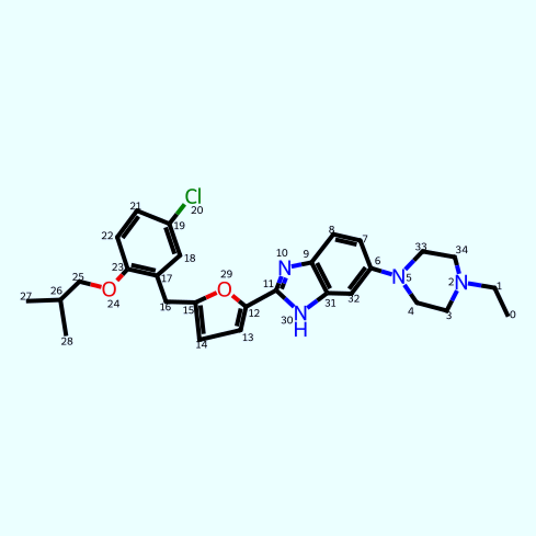 CCN1CCN(c2ccc3nc(-c4ccc(Cc5cc(Cl)ccc5OCC(C)C)o4)[nH]c3c2)CC1